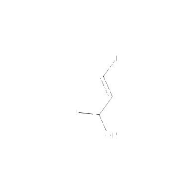 OC(I)C=CI